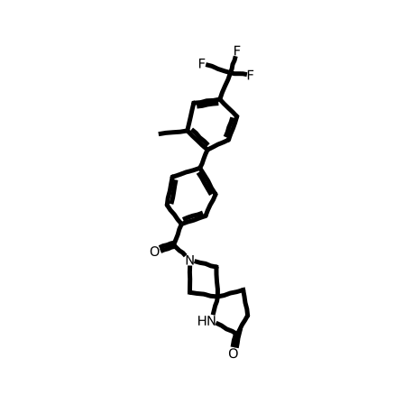 Cc1cc(C(F)(F)F)ccc1-c1ccc(C(=O)N2CC3(CCC(=O)N3)C2)cc1